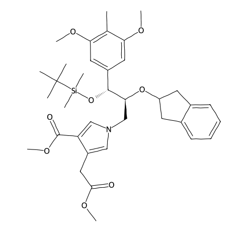 COC(=O)Cc1cn(C[C@H](OC2Cc3ccccc3C2)[C@H](O[Si](C)(C)C(C)(C)C)c2cc(OC)c(C)c(OC)c2)cc1C(=O)OC